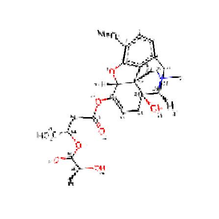 COc1ccc2c3c1O[C@H]1C(OC(=O)C[C@H](OC(=O)[C@H](C)O)C(=O)O)=CC[C@@]4(O)[C@@H](C2)N(C)CC[C@]314